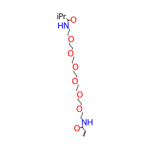 C=CC(=O)NCCOCCOCCOCCOCCOCCOCCNC(=O)C(C)C